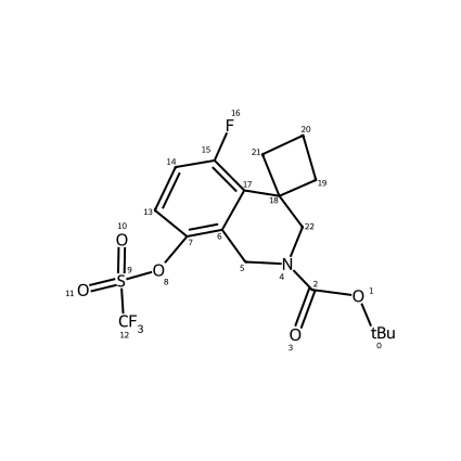 CC(C)(C)OC(=O)N1Cc2c(OS(=O)(=O)C(F)(F)F)ccc(F)c2C2(CCC2)C1